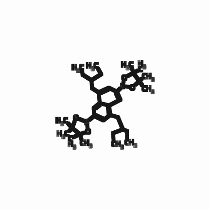 CCC(CC)Cc1cc(B2OC(C)(C)C(C)(C)O2)cc2c(CC(CC)CC)cc(B3OC(C)(C)C(C)(C)O3)cc12